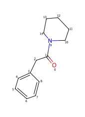 O=C([CH]c1ccccc1)N1CCCCC1